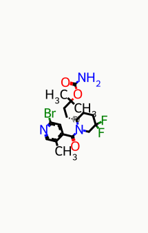 Cc1cnc(Br)cc1C(=O)N1CC(F)(F)CC[C@H]1CCC(C)(C)OC(N)=O